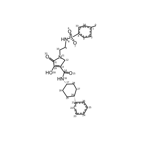 Cc1ccc(S(=O)(=O)NCCN2CC(C(=O)N[C@H]3CC[C@@H](c4ccccc4)CC3)=C(O)C2=O)cc1